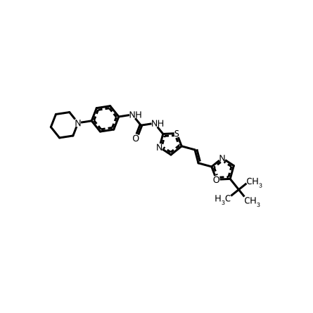 CC(C)(C)c1cnc(/C=C/c2cnc(NC(=O)Nc3ccc(N4CCCCC4)cc3)s2)o1